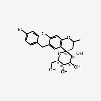 CCc1ccc(Cc2cc3c(cc2Cl)OC(C)C[C@]32O[C@H](CO)[C@@H](O)[C@H](O)[C@H]2O)cc1